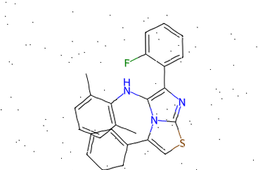 Cc1cccc(C)c1Nc1c(-c2ccccc2F)nc2scc(C3=CC=CCC3)n12